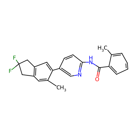 Cc1ccccc1C(=O)Nc1ccc(-c2cc3c(cc2C)CC(F)(F)C3)cn1